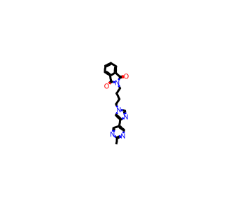 Cc1ncc(-c2cn(CCCCN3C(=O)c4ccccc4C3=O)cn2)cn1